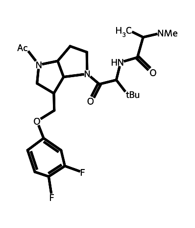 CNC(C)C(=O)NC(C(=O)N1CCC2C1C(COc1ccc(F)c(F)c1)CN2C(C)=O)C(C)(C)C